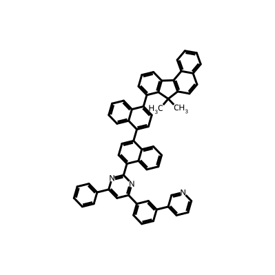 CC1(C)c2ccc3ccccc3c2-c2cccc(-c3ccc(-c4ccc(-c5nc(-c6ccccc6)cc(-c6cccc(-c7cccnc7)c6)n5)c5ccccc45)c4ccccc34)c21